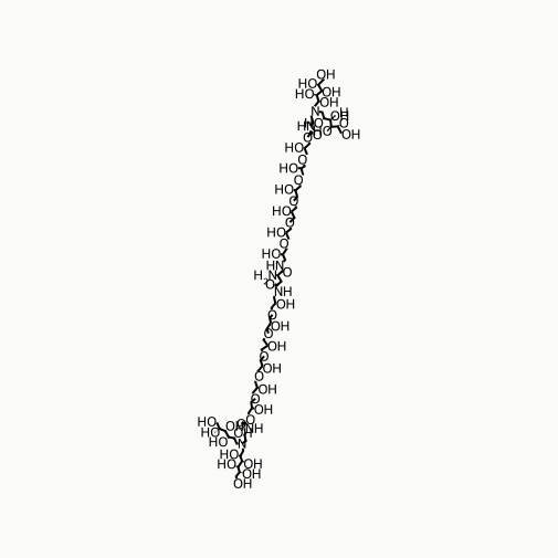 N[C@H](CC(=O)NCC(O)COCC(O)COCC(O)COCC(O)COCC(O)COCC(O)COC(=O)NCCN(C[C@H](O)[C@@H](O)[C@H](O)[C@H](O)CO)C[C@H](O)[C@@H](O)[C@H](O)[C@H](O)CO)C(=O)NCC(O)COCC(O)COCC(O)COCC(O)COCC(O)COCC(O)COC(=O)NCCN(C[C@H](O)[C@@H](O)[C@H](O)[C@H](O)CO)C[C@H](O)[C@@H](O)[C@H](O)[C@H](O)CO